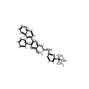 CC(C)(O)c1cccc(NCCc2nc(-c3ccc4ncccc4c3)c(-c3ccccc3)nc2N)n1